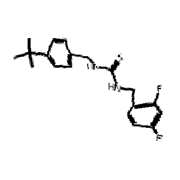 CC(C)(C)c1ccc(CNC(=S)NCc2ccc(F)cc2F)cc1